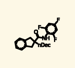 CCCCCCCCCCC1(C(=O)Nc2c(F)cc(F)cc2F)Cc2ccccc2C1